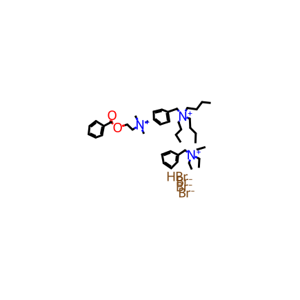 Br.CCCC[N+](CCCC)(CCCC)Cc1ccccc1.CC[N+](CC)(CC)Cc1ccccc1.C[N+](C)(C)CCOC(=O)c1ccccc1.[Br-].[Br-].[Br-]